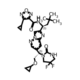 CC(C)(C)C[C@H](NC(=O)c1nonc1C1CC1)c1cn2ncc([C@@H](COC3CC3)N3CC(F)(F)CNC3=O)cc2n1